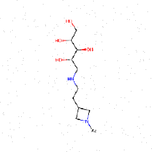 CC(=O)N1CC(CCNC[C@H](O)[C@H](O)[C@H](O)CO)C1